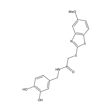 COc1ccc2sc(SCC(=O)NCc3ccc(O)c(O)c3)nc2c1